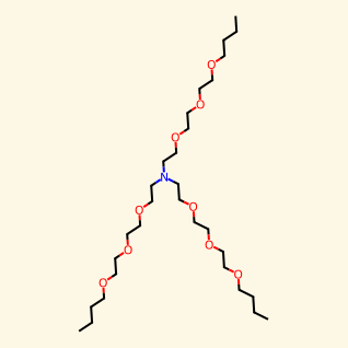 CCCCOCCOCCOCCN(CCOCCOCCOCCCC)CCOCCOCCOCCCC